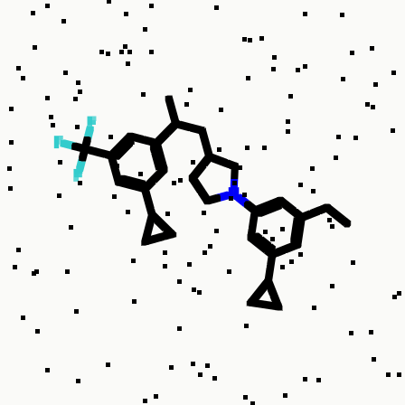 CCc1cc(C2CC2)cc(N2CCC(CC(C)c3cc(C4CC4)cc(C(F)(F)F)c3)C2)c1